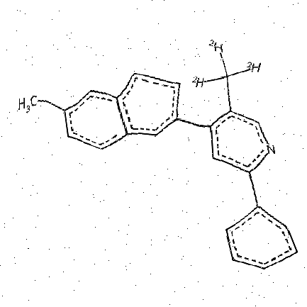 [2H]C([2H])([2H])c1cnc(-c2ccccc2)cc1-c1ccc2cc(C)ccc2c1